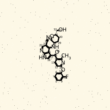 Cc1nc(Oc2ccccc2F)ccc1C(=O)c1c[nH]c2ncc(C#N)c(N[C@@H]3CC[C@@H](CO)OC3)c12